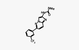 CNC(=O)Nc1cn2nc(-c3cccc(C(F)(F)F)c3)ccc2n1